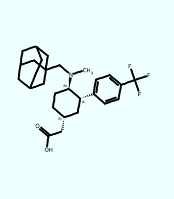 CN(CC12CC3CC(CC(C3)C1)C2)[C@@H]1CC[C@@H](CC(=O)O)C[C@H]1c1ccc(C(F)(F)F)cc1